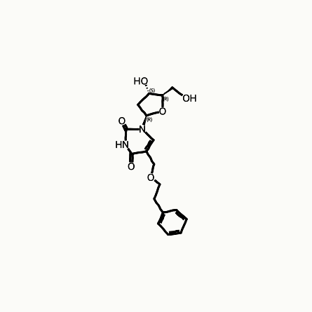 O=c1[nH]c(=O)n([C@H]2C[C@H](O)[C@@H](CO)O2)cc1COCCc1ccccc1